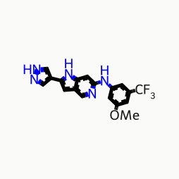 COc1cc(Nc2cc3[nH]c(-c4cn[nH]c4)cc3cn2)cc(C(F)(F)F)c1